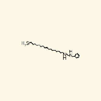 [SiH3]CCCCCCCCCCCCCCCCCNCCNCc1ccccc1